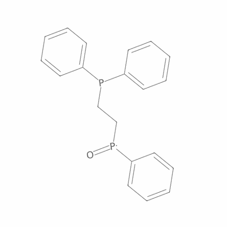 O=[P](CCP(c1ccccc1)c1ccccc1)c1ccccc1